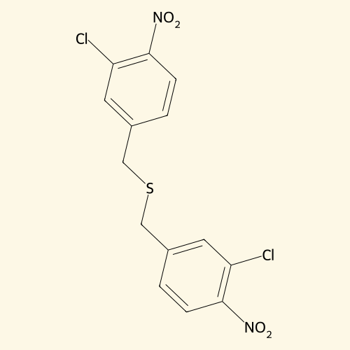 O=[N+]([O-])c1ccc(CSCc2ccc([N+](=O)[O-])c(Cl)c2)cc1Cl